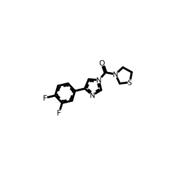 O=C(N1CCSC1)n1cnc(-c2ccc(F)c(F)c2)c1